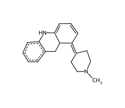 CN1CCC(=C2C=CC=C3Nc4ccccc4CC32)CC1